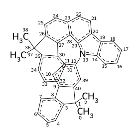 CC1(C)c2ccccc2-c2ccc(-n3c4ccccc4c4ccc5ccc6c(c5c43)-c3ccccc3C6(C)C)cc21